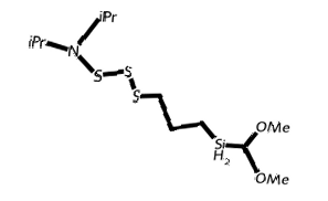 COC(OC)[SiH2]CCCSSSN(C(C)C)C(C)C